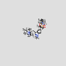 [2H]N(C([2H])([2H])[2H])S(=O)(=O)C([2H])([2H])c1ccc2c(c1)c(CC([2H])([2H])N(C)C([2H])([2H])[2H])cn2[2H]